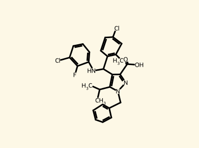 Cc1cc(Cl)ccc1C(Nc1cccc(Cl)c1F)c1c(C(=O)O)nn(Cc2ccccc2)c1C(C)C